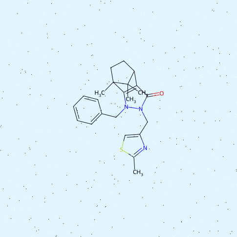 Cc1nc(Cn2c(=O)c3c(n2Cc2ccccc2)C2(C)CCC3C2(C)C)cs1